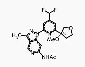 CO[C@@]1(c2cc(C(F)F)cc(-n3nc(C)c4cnc(NC(C)=O)cc43)n2)CCOC1